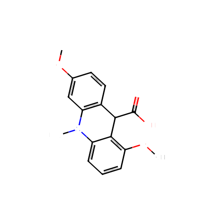 COc1ccc2c(c1)N(C)c1cccc(OC)c1C2C(=O)O